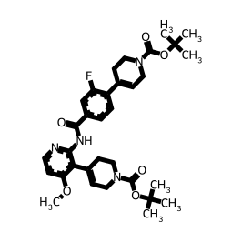 COc1ccnc(NC(=O)c2ccc(C3=CCN(C(=O)OC(C)(C)C)CC3)c(F)c2)c1C1=CCN(C(=O)OC(C)(C)C)CC1